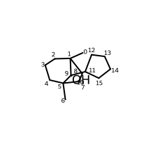 CC12CCCC(C)(CC1)C2(O)C1CCCC1